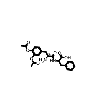 CC(=O)Oc1ccc(C[C@H](N)C(=O)NC(Cc2ccccc2)C(=O)O)cc1OC(C)=O